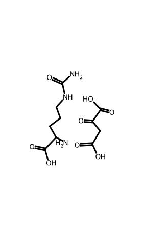 NC(=O)NCCCC(N)C(=O)O.O=C(O)CC(=O)C(=O)O